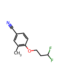 Cc1cc(C#N)ccc1OCCC(F)F